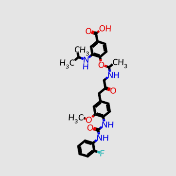 COc1cc(CC(=O)CNC(C)Oc2ccc(C(=O)O)cc2NC(C)C)ccc1NC(=O)Nc1ccccc1F